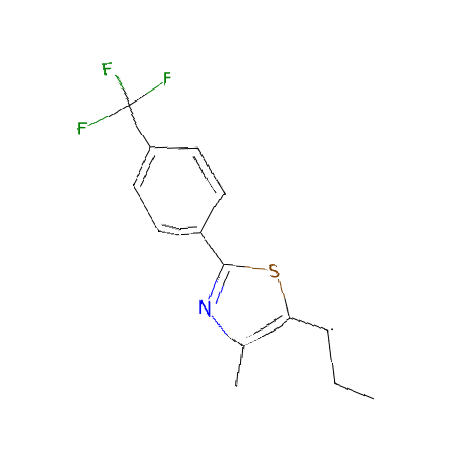 CC[CH]c1sc(-c2ccc(C(F)(F)F)cc2)nc1C